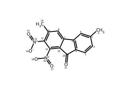 Cc1ccc2c(c1)-c1cc(C)c([N+](=O)[O-])c([N+](=O)[O-])c1C2=O